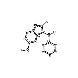 COc1ccc2[nH]c(C)c([S+]([O-])c3ccccc3)c2c1